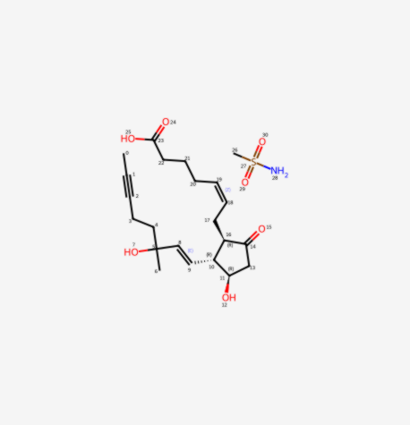 CC#CCCC(C)(O)/C=C/[C@H]1[C@H](O)CC(=O)[C@@H]1C/C=C\CCCC(=O)O.CS(N)(=O)=O